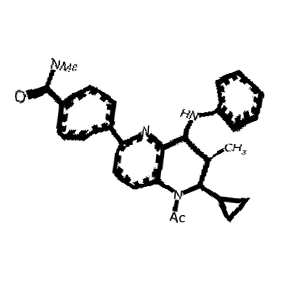 CNC(=O)c1ccc(-c2ccc3c(n2)C(Nc2ccccc2)[C@@H](C)C(C2CC2)N3C(C)=O)cc1